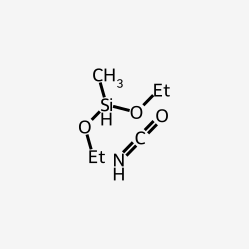 CCO[SiH](C)OCC.N=C=O